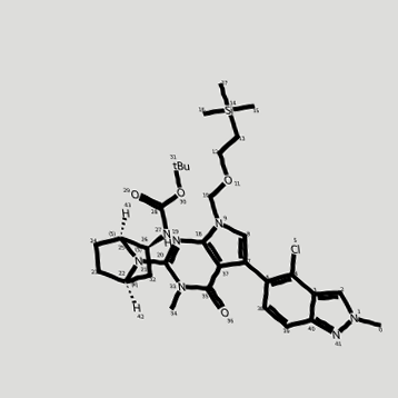 Cn1cc2c(Cl)c(-c3cn(COCC[Si](C)(C)C)c4nc(N5[C@@H]6CC[C@H]5[C@@H](NC(=O)OC(C)(C)C)C6)n(C)c(=O)c34)ccc2n1